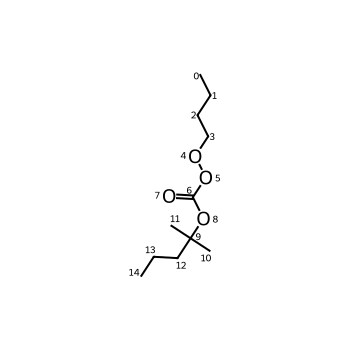 CCCCOOC(=O)OC(C)(C)CCC